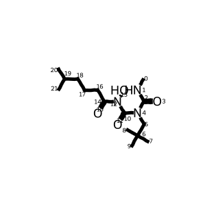 CNC(=O)N(CC(C)(C)C)C(=O)N(O)C(=O)CCCC(C)C